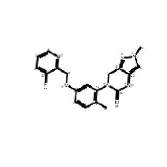 Cc1ccc(OCc2ncccc2F)cc1N1Cc2nn(C)cc2NC1=O